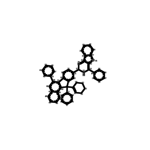 C1=C(C2(c3ccccc3)c3cc(C4N=c5c(oc6ccccc56)=C(c5ccccc5)N4)ccc3-c3c(-c4ccccc4)cc4ccccc4c32)CCCC1